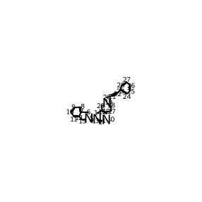 CN1CN(CN2Cc3ccccc3C2)CC2=C1CCN(CC#Cc1ccccc1)C2